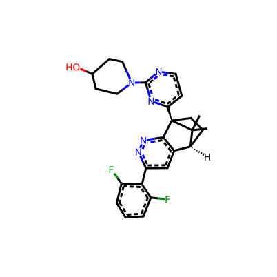 CC1(C)[C@H]2CC[C@@]1(c1ccnc(N3CCC(O)CC3)n1)c1nnc(-c3c(F)cccc3F)cc12